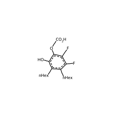 CCCCCCc1c(O)c(OC(=O)O)c(F)c(F)c1CCCCCC